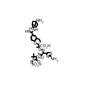 CC1(C)[C@H](NC(=O)/C(=N\O[C@](C)(C(=O)O)[C@H]2CCc3cc(C(=N)N[C@@H]4CCC5(N)CC4C5)ccc3O2)c2csc(N)n2)C(=O)N1OS(=O)(=O)O